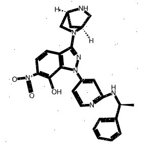 C[C@H](Nc1cc(-n2nc(N3C[C@@H]4C[C@H]3CN4)c3ccc([N+](=O)[O-])c(O)c32)ccn1)c1ccccc1